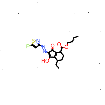 CCCCOC(=O)C1CCC(CC)C2=C1C(=O)C(N=Nc1cc(F)sn1)=C2O